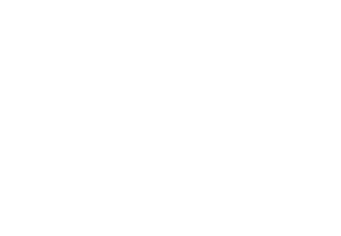 C=CCC(=CC=C(CC=C)CC=C)CC=C